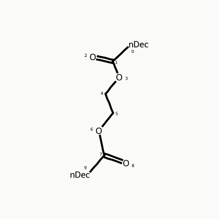 CCCCCCCCCCC(=O)OCCOC(=O)CCCCCCCCCC